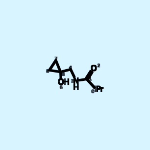 CC(C)C(=O)NCC1(O)CC1